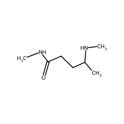 CNC(=O)CCC(C)NC